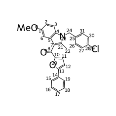 COc1ccc2c(c1)c(C(=O)c1ccc(-c3ccccc3)o1)c(C)n2Cc1ccc(Cl)cc1